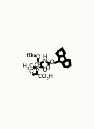 CC(C)(C)OC[C@H](NC(=O)OCC1c2ccccc2-c2ccccc21)C(=O)N1[C@H](C(=O)O)COC1(C)C